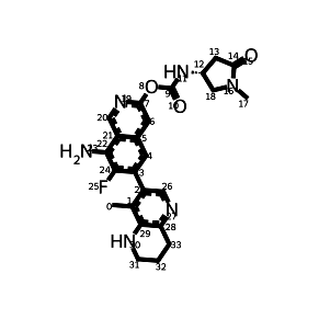 Cc1c(-c2cc3cc(OC(=O)N[C@@H]4CC(=O)N(C)C4)ncc3c(N)c2F)cnc2c1NCCC2